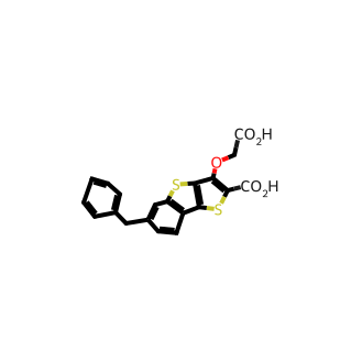 O=C(O)COc1c(C(=O)O)sc2c1sc1cc(Cc3ccccc3)ccc12